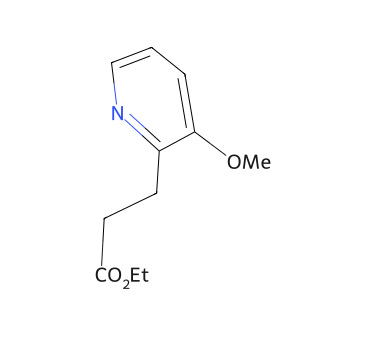 CCOC(=O)CCc1ncccc1OC